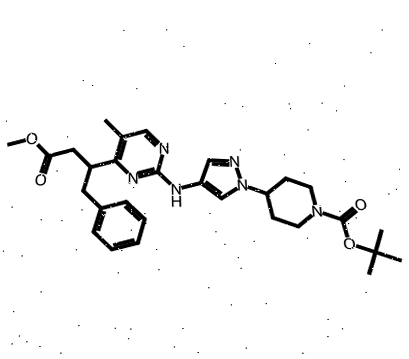 COC(=O)CC(Cc1ccccc1)c1nc(Nc2cnn(C3CCN(C(=O)OC(C)(C)C)CC3)c2)ncc1C